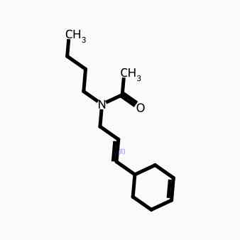 CCCCN(C/C=C/C1CC=CCC1)C(C)=O